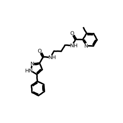 Cc1cccnc1C(=O)NCCCNC(=O)c1cc(-c2ccccc2)[nH]n1